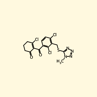 Cn1nnnc1SCc1c(Cl)ccc(C(=O)C2=C(Cl)CCCC2=O)c1Cl